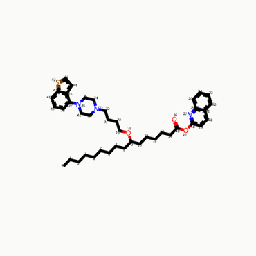 CCCCCCCCCC(CCCCCC(=O)Oc1ccc2ccccc2n1)OCCCCN1CCN(c2cccc3sccc23)CC1